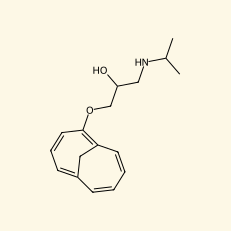 CC(C)NCC(O)COC1=C2C=CC=CC(=CC=C1)C2